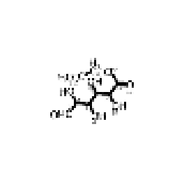 CC(=O)O.O=CC(O)C(O)C(O)C(O)C(=O)Cl